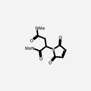 CNC(=O)CC(C(=O)NC)N1C(=O)C=CC1=O